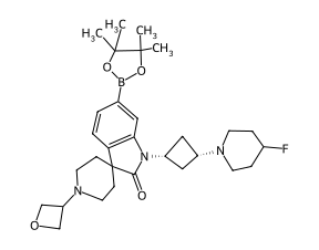 CC1(C)OB(c2ccc3c(c2)N([C@H]2C[C@@H](N4CCC(F)CC4)C2)C(=O)C32CCN(C3COC3)CC2)OC1(C)C